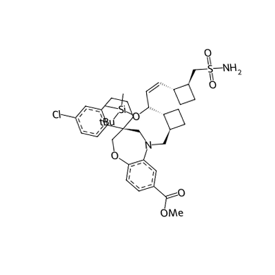 COC(=O)c1ccc2c(c1)N(C[C@@H]1CC[C@H]1C(/C=C\[C@H]1CC[C@@H]1CS(N)(=O)=O)O[Si](C)(C)C(C)(C)C)C[C@@]1(CCCc3cc(Cl)ccc31)CO2